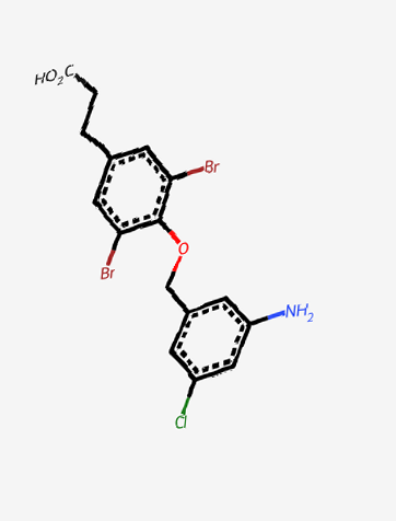 Nc1cc(Cl)cc(COc2c(Br)cc(CCC(=O)O)cc2Br)c1